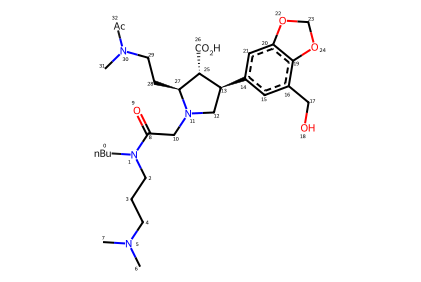 CCCCN(CCCN(C)C)C(=O)CN1C[C@H](c2cc(CO)c3c(c2)OCO3)[C@@H](C(=O)O)[C@@H]1CCN(C)C(C)=O